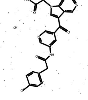 O=C(O)Cn1cc(C(=O)c2cncc(NC(=O)Cc3ccc(Cl)cc3)c2)c2cncnc21.[KH]